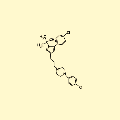 CC(C)(C)n1nc(CCCN2CCN(c3ccc(Cl)cc3)CC2)cc1-c1ccc(Cl)cc1